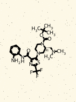 CN(C)C[C@@H]1CN(c2sc(C(F)(F)F)nc2C(=O)Nc2ccccc2N)CCN1C(=O)OC(C)(C)C